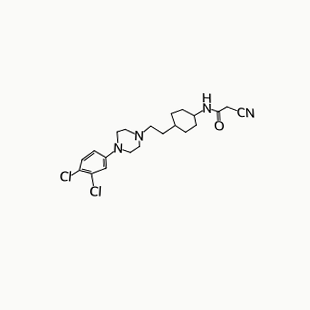 N#CCC(=O)NC1CCC(CCN2CCN(c3ccc(Cl)c(Cl)c3)CC2)CC1